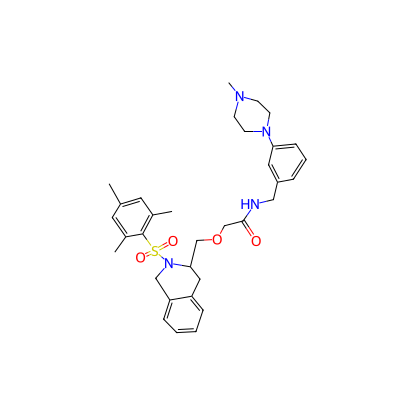 Cc1cc(C)c(S(=O)(=O)N2Cc3ccccc3CC2COCC(=O)NCc2cccc(N3CCN(C)CC3)c2)c(C)c1